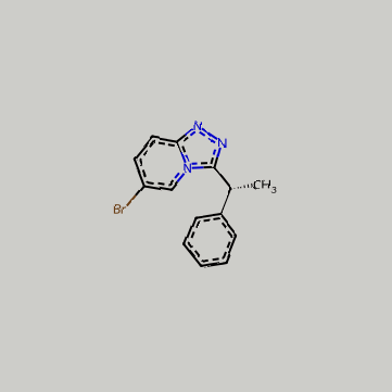 C[C@H](c1ccccc1)c1nnc2ccc(Br)cn12